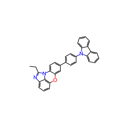 CCc1nc2cccc3c2n1-c1ccc(-c2ccc(-n4c5ccccc5c5ccccc54)cc2)cc1O3